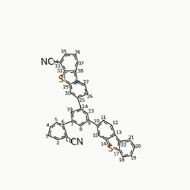 N#Cc1ccccc1-c1cc(-c2ccc3c(c2)sc2ccccc23)cc(-c2ccc3c(c2)sc2c(C#N)cccc23)c1